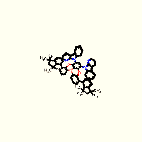 CC1(C)CC(C)(C)c2c(-c3cccc4c3Oc3c(-n5c6ccccc6c6cccnc65)cc(-n5c6ccccc6c6cccnc65)c5c3B4c3cccc(-c4cccc6c4C(C)(C)CC6(C)C)c3O5)cccc21